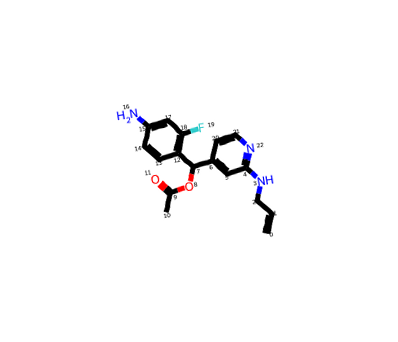 C=CCNc1cc(C(OC(C)=O)c2ccc(N)cc2F)ccn1